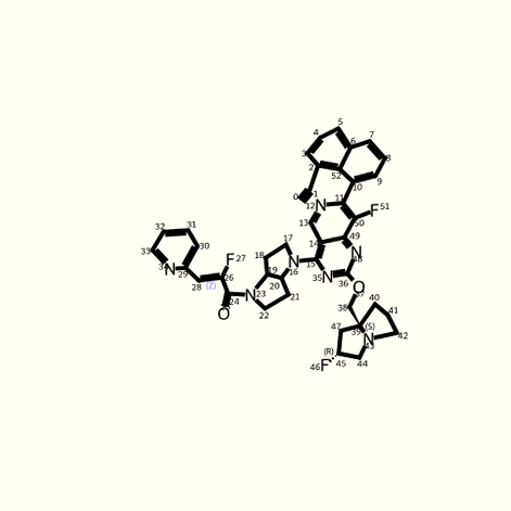 C#Cc1cccc2cccc(-c3ncc4c(N5CCC6C5CCN6C(=O)/C(F)=C/c5ccccn5)nc(OC[C@@]56CCCN5C[C@H](F)C6)nc4c3F)c12